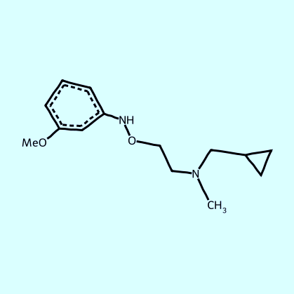 COc1cccc(NOCCN(C)CC2CC2)c1